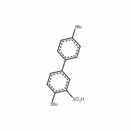 CC(C)(C)c1ccc(-c2ccc(C(C)(C)C)c(S(=O)(=O)O)c2)cc1